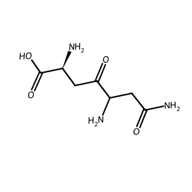 NC(=O)CC(N)C(=O)C[C@H](N)C(=O)O